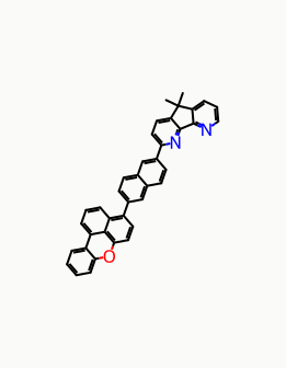 CC1(C)c2cccnc2-c2nc(-c3ccc4cc(-c5ccc6c7c(cccc57)-c5ccccc5O6)ccc4c3)ccc21